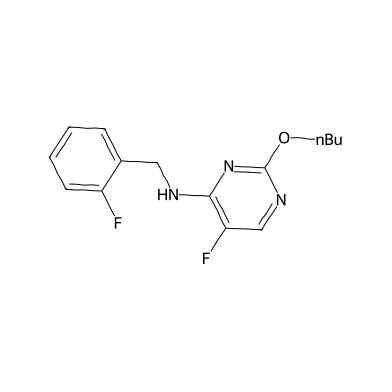 CCCCOc1ncc(F)c(NCc2ccccc2F)n1